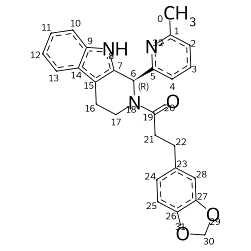 Cc1cccc([C@@H]2c3[nH]c4ccccc4c3CCN2C(=O)CCc2ccc3c(c2)OCO3)n1